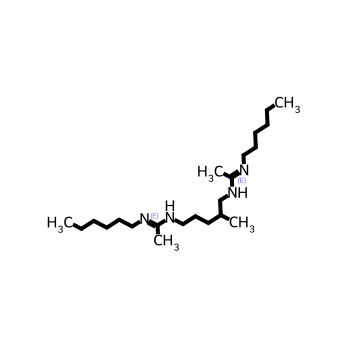 CCCCCC/N=C(\C)NCCCC(C)CN/C(C)=N/CCCCCC